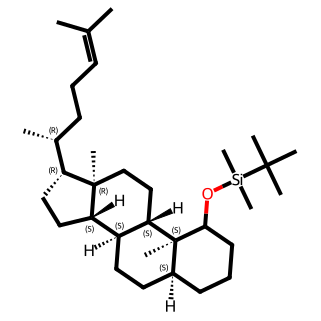 CC(C)=CCC[C@@H](C)[C@H]1CC[C@H]2[C@@H]3CC[C@@H]4CCCC(O[Si](C)(C)C(C)(C)C)[C@]4(C)[C@H]3CC[C@]12C